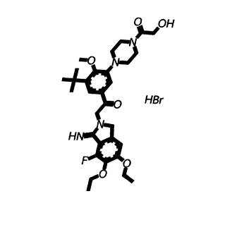 Br.CCOc1cc2c(c(F)c1OCC)C(=N)N(CC(=O)c1cc(N3CCN(C(=O)CO)CC3)c(OC)c(C(C)(C)C)c1)C2